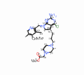 COc1c(C)cnc(CN2C[C@H](CCCN3CCN(CC(=O)OC(C)(C)C)CC3)c3c(Cl)nc(N)nc32)c1C